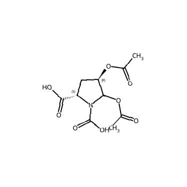 CC(=O)OC1[C@H](OC(C)=O)C[C@@H](C(=O)O)N1C(=O)O